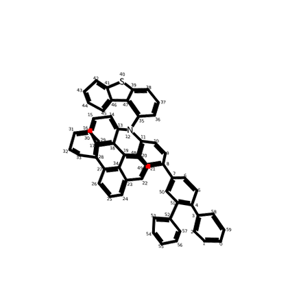 c1ccc(-c2ccc(-c3ccc(N(c4ccccc4-c4cccc5cccc(-c6ccccc6)c45)c4cccc5sc6ccccc6c45)cc3)cc2-c2ccccc2)cc1